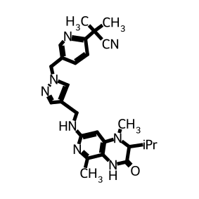 Cc1nc(NCc2cnn(Cc3ccc(C(C)(C)C#N)nc3)c2)cc2c1NC(=O)C(C(C)C)N2C